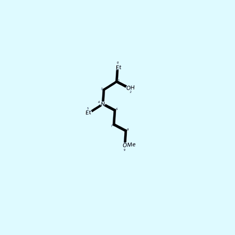 CCC(O)CN(CC)CCCOC